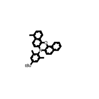 Cc1cc(C(C)(C)C)cc(C)c1N1c2ccc3ccccc3c2Oc2c1ccc1c(C)cccc21